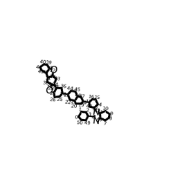 c1ccc(-c2nc3ccccc3n2-c2cccc(-c3ccc4cc(-c5ccc6oc7cc8c(cc7c6c5)oc5ccccc58)ccc4c3)c2)cc1